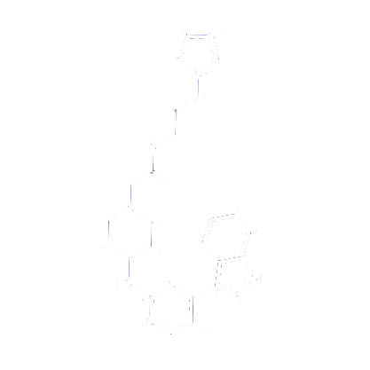 O=C(CN1CCC(Nc2ncc(Cl)c(-c3c[nH]c4ccccc34)n2)CC1)NCCCn1ccnc1